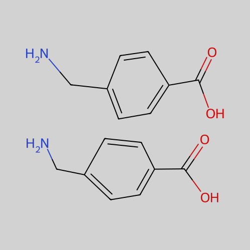 NCc1ccc(C(=O)O)cc1.NCc1ccc(C(=O)O)cc1